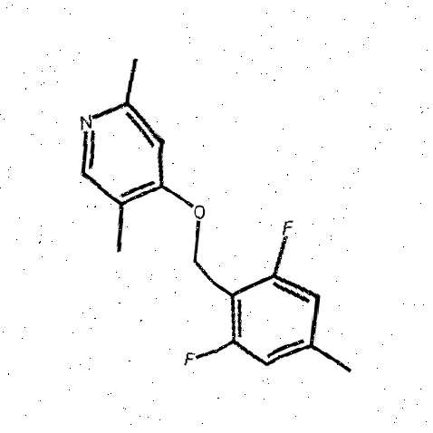 Cc1cc(F)c(COc2cc(C)ncc2C)c(F)c1